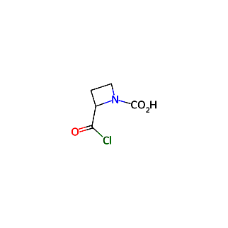 O=C(Cl)C1CCN1C(=O)O